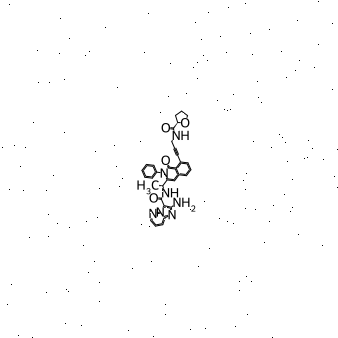 C[C@H](NC(=O)c1c(N)nc2cccnn12)c1cc2cccc(C#CCNC(=O)[C@H]3CCCO3)c2c(=O)n1-c1ccccc1